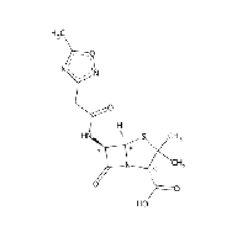 Cc1nc(CC(=O)N[C@@H]2C(=O)N3[C@@H]2SC(C)(C)[C@@H]3C(=O)O)no1